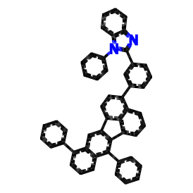 c1ccc(-c2cccc3c(-c4ccccc4)c4c(cc23)-c2ccc(-c3cccc(-c5nc6ccccc6n5-c5ccccc5)c3)c3cccc-4c23)cc1